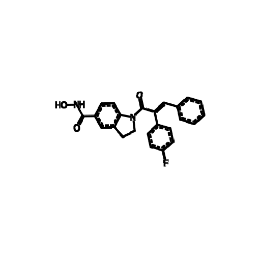 O=C(NO)c1ccc2c(c1)CCN2C(=O)C(=Cc1ccccc1)c1ccc(F)cc1